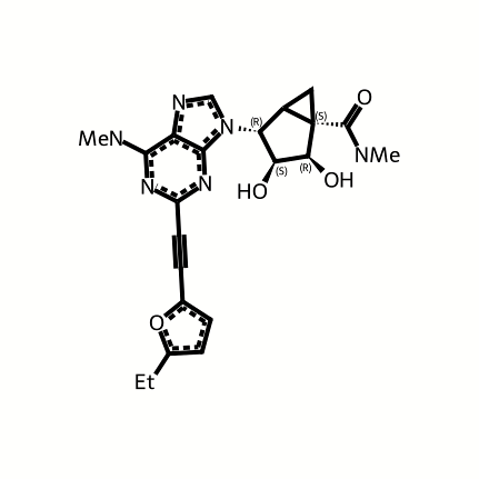 CCc1ccc(C#Cc2nc(NC)c3ncn([C@@H]4C5C[C@@]5(C(=O)NC)[C@@H](O)[C@H]4O)c3n2)o1